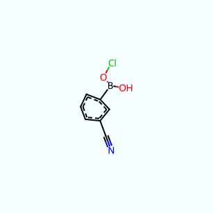 N#Cc1cccc(B(O)OCl)c1